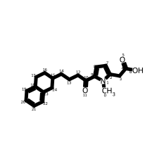 Cn1c(CC(=O)O)ccc1C(=O)CCCC1CCc2ccccc2C1